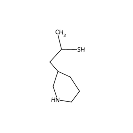 CC(S)CC1CCCNC1